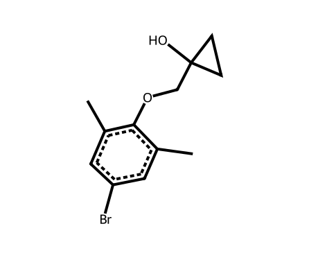 Cc1cc(Br)cc(C)c1OCC1(O)CC1